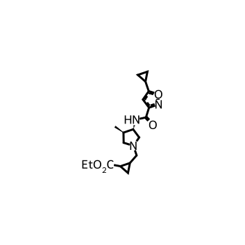 CCOC(=O)C1CC1CN1C[C@@H](C)[C@H](NC(=O)c2cc(C3CC3)on2)C1